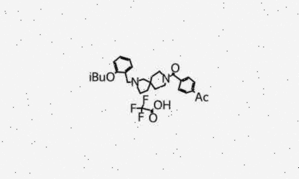 CC(=O)c1ccc(C(=O)N2CCC3(CCN(Cc4ccccc4OCC(C)C)C3)CC2)cc1.O=C(O)C(F)(F)F